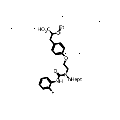 CCCCCCCN(CCOc1ccc(CC(OCC)C(=O)O)cc1)C(=O)Nc1ccccc1F